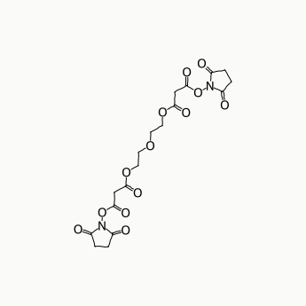 O=C(CC(=O)ON1C(=O)CCC1=O)OCCOCCOC(=O)CC(=O)ON1C(=O)CCC1=O